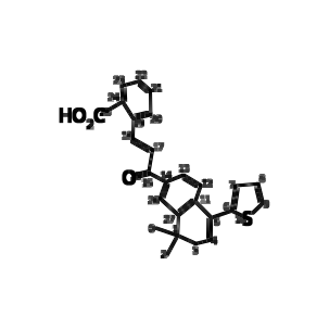 CC1(C)CC=C(c2cccs2)c2ccc(C(=O)C=Cc3ccccc3C(=O)O)cc21